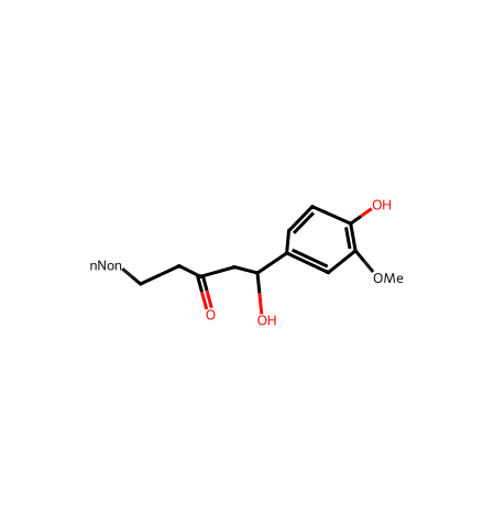 CCCCCCCCCCCC(=O)CC(O)c1ccc(O)c(OC)c1